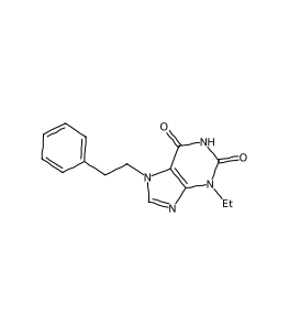 CCn1c(=O)[nH]c(=O)c2c1ncn2CCc1ccccc1